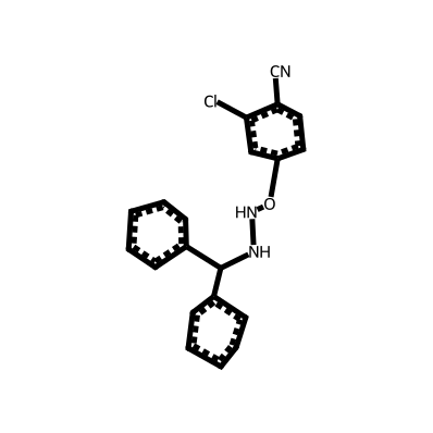 N#Cc1ccc(ONNC(c2ccccc2)c2ccccc2)cc1Cl